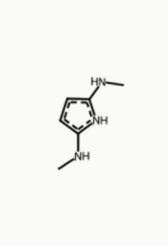 CNc1ccc(NC)[nH]1